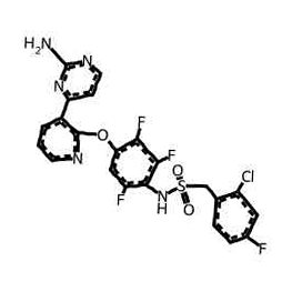 Nc1nccc(-c2cccnc2Oc2cc(F)c(NS(=O)(=O)Cc3ccc(F)cc3Cl)c(F)c2F)n1